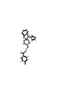 O=C(CCCN1CCC2(CC1)Oc1ccccc1C2n1cccc1)c1ccc(F)cc1